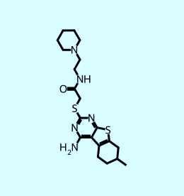 CC1CCc2c(sc3nc(SCC(=O)NCCN4CCCCC4)nc(N)c23)C1